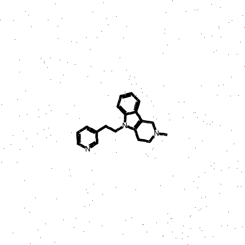 CN1CCc2c(c3ccccc3n2CCc2cccnc2)C1